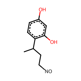 CC(CCN=O)c1ccc(O)cc1O